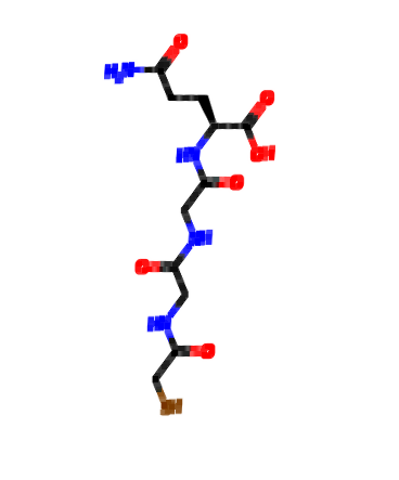 NC(=O)CC[C@H](NC(=O)CNC(=O)CNC(=O)CS)C(=O)O